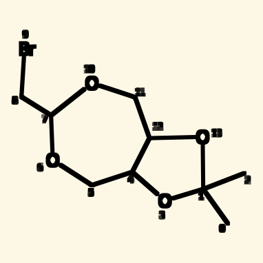 CC1(C)OC2COC(CBr)OCC2O1